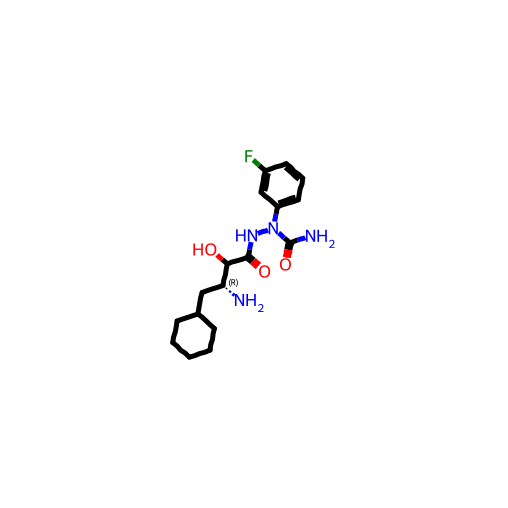 NC(=O)N(NC(=O)C(O)[C@H](N)CC1CCCCC1)c1cccc(F)c1